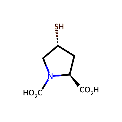 O=C(O)[C@@H]1C[C@@H](S)CN1C(=O)O